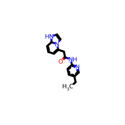 CCc1ccc(NC(=O)CC2=CC=CC3NC=CN23)nc1